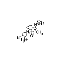 CN/N=C1\C[C@@]2(C)O[C@@]13CCO[C@H]1[C@@H]3[C@@H]2C(=O)N1c1ccc(C#N)c(C(F)(F)F)c1